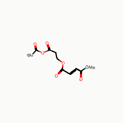 COC(=O)C=CC(=O)OCCC(=O)OC(=O)C(C)(C)C